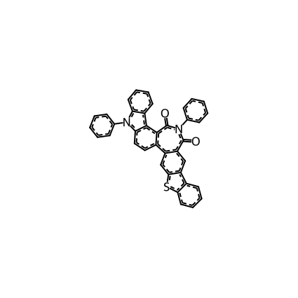 O=c1c2cc3c(cc2c2ccc4c(c5ccccc5n4-c4ccccc4)c2c(=O)n1-c1ccccc1)sc1ccccc13